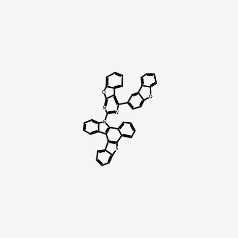 c1ccc2c(c1)oc1ccc(-c3nc(-n4c5ccccc5c5c6c7ccccc7sc6c6ccccc6c54)nc4oc5ccccc5c34)cc12